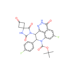 CC(C)(C)OC(=O)N1c2cc(F)cc3c(=O)[nH]nc(c23)C(N2C(=O)NC3(CC(=O)C3)C2=O)C1c1ccc(F)cc1